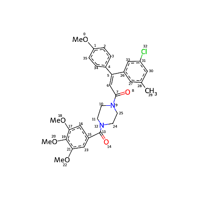 COc1ccc(C(=CC(=O)N2CCN(C(=O)c3cc(OC)c(OC)c(OC)c3)CC2)c2cc(C)cc(Cl)c2)cc1